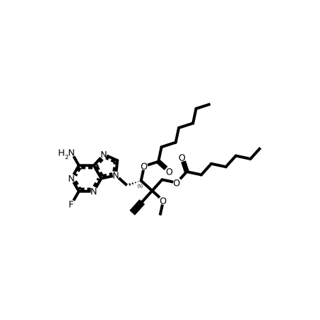 C#CC(COC(=O)CCCCCC)(OC)[C@H](Cn1cnc2c(N)nc(F)nc21)OC(=O)CCCCCC